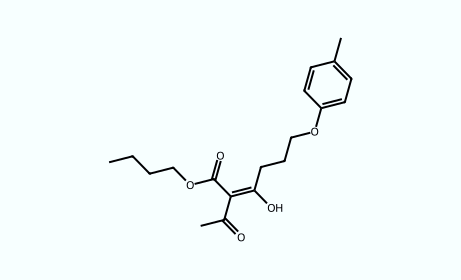 CCCCOC(=O)/C(C(C)=O)=C(/O)CCCOc1ccc(C)cc1